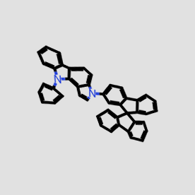 c1ccc(-n2c3ccccc3c3ccc4c(ccn4-c4ccc5c(c4)C4(c6ccccc6-c6ccccc64)c4ccccc4-5)c32)cc1